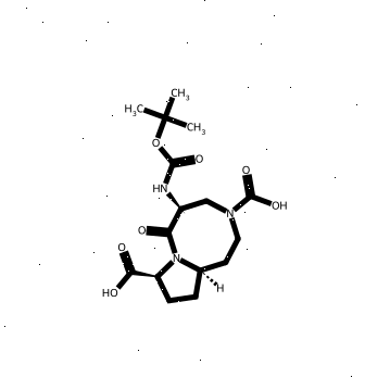 CC(C)(C)OC(=O)N[C@H]1CN(C(=O)O)CC[C@H]2CC[C@@H](C(=O)O)N2C1=O